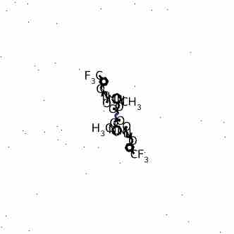 CN1CCCN(C(=O)N2CC(Oc3cccc(C(F)(F)F)c3)C2)CC1OC(=O)/C=C/C(=O)OC1CN(C(=O)N2CC(Oc3cccc(C(F)(F)F)c3)C2)CCCN1C